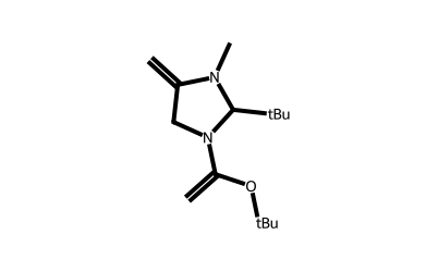 C=C1CN(C(=C)OC(C)(C)C)C(C(C)(C)C)N1C